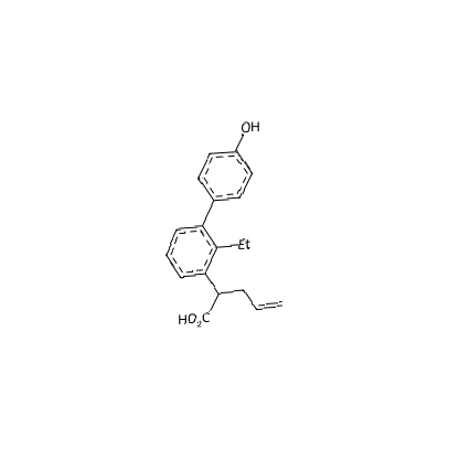 C=CCC(C(=O)O)c1cccc(-c2ccc(O)cc2)c1CC